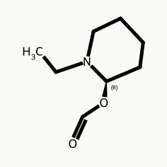 CCN1CCCC[C@H]1OC=O